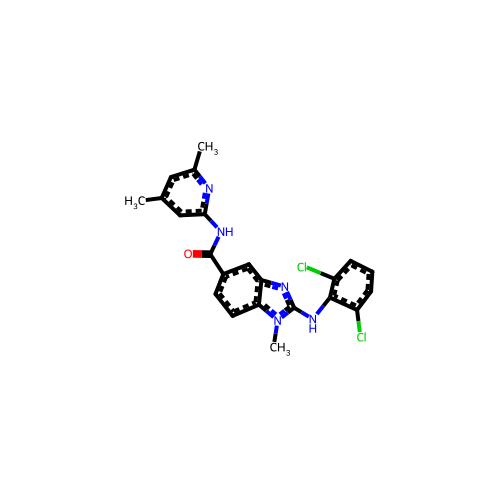 Cc1cc(C)nc(NC(=O)c2ccc3c(c2)nc(Nc2c(Cl)cccc2Cl)n3C)c1